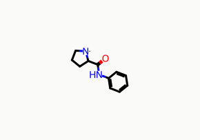 O=C(Nc1ccccc1)C1CCC[N]1